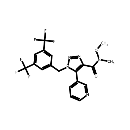 CON(C)C(=O)c1nnn(Cc2cc(C(F)(F)F)cc(C(F)(F)F)c2)c1-c1cccnc1